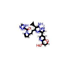 Nc1c(C2CC2)c(CCC2CC=CN2C(=O)c2nnc[nH]2)nc2c(-c3cnc4c(c3)OCCC4O)cnn12